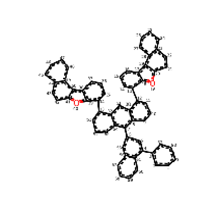 c1ccc(-c2cc(-c3c4cccc(-c5cccc6c5oc5ccc7ccccc7c56)c4cc4c(-c5cccc6c5oc5ccc7ccccc7c56)cccc34)cc3ccccc23)cc1